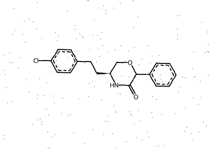 O=C1N[C@@H](CCc2ccc(Cl)cc2)COC1c1ccccc1